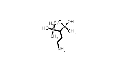 C[Si](C)(O)C(CCN)[Si](C)(C)O